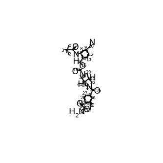 CC(C)(C)C(=O)Nc1cc(C#N)ccc1COC(=O)N1C[C@@H]2CN(C(=O)c3ccc(S(N)(=O)=O)c(F)c3)C[C@H]2C1